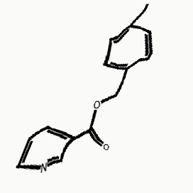 Cc1ccc(COC(=O)c2cccnc2)cc1